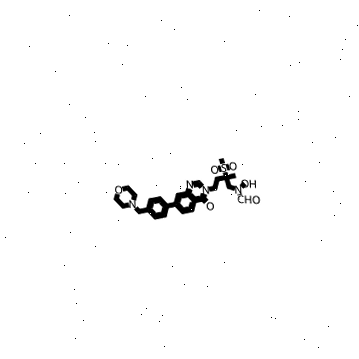 CC(CCn1cnc2cc(-c3ccc(CN4CCOCC4)cc3)ccc2c1=O)(CN(O)C=O)S(C)(=O)=O